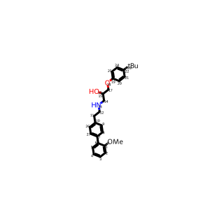 COc1ccccc1-c1ccc(CCNCC(O)COc2ccc(C(C)(C)C)cc2)cc1